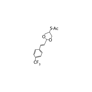 CC(=O)SC1COC(C=Cc2ccc(C(F)(F)F)cc2)OC1